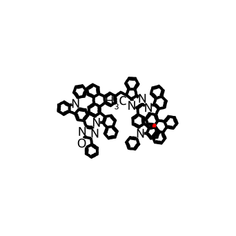 CC1(Cc2ccc3c(c2)c2ccccc2c2ccc4c(c5ccc6ccccc6c5n4-c4nc5c(nc4-c4ccc6c(c4)c4ccccc4n6-c4ccccc4)oc4ccccc45)c23)c2ccccc2-c2nc(-n3c4ccc5c6ccccc6c6ccccc6c5c4c4ccc5ccccc5c43)c(-c3ccc4c(c3)c3ccccc3n4-c3ccccc3)nc21